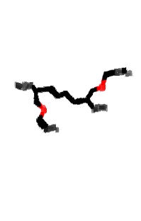 C=COCC(CCCCCCCCCC)CCCCC(CCCCCCCCCC)COC=C